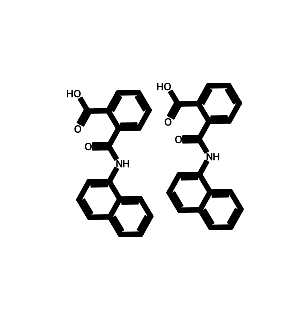 O=C(O)c1ccccc1C(=O)Nc1cccc2ccccc12.O=C(O)c1ccccc1C(=O)Nc1cccc2ccccc12